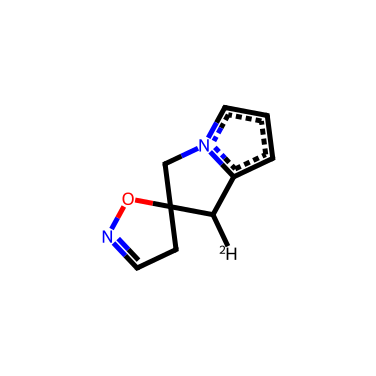 [2H]C1c2cccn2CC12CC=NO2